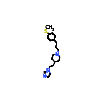 CSc1ccc(CCCN2CCC(CCn3ccnc3)CC2)cc1